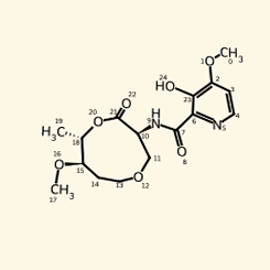 COc1ccnc(C(=O)N[C@H]2COCC[C@@H](OC)[C@H](C)OC2=O)c1O